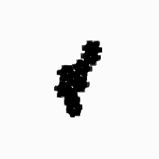 C1=Cc2cc3c(cc2CC1)oc1c(-c2c4ccccc4c(-c4ccc(-c5ccc6ccccc6c5)cc4)c4ccccc24)cccc13